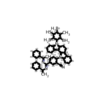 Bc1c(C)c(B)c(-n2c3ccccc3c3c2ccc2c4ccccc4n(-c4ccc(C(=N/C(=C)c5ccccc5)/N=C(\C)c5ccccc5)cc4C#N)c23)c(B)c1S